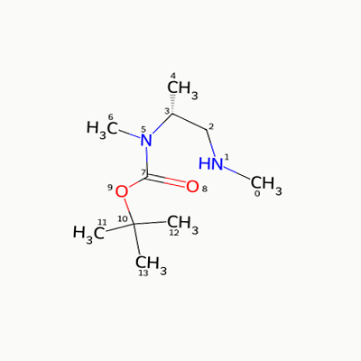 CNC[C@@H](C)N(C)C(=O)OC(C)(C)C